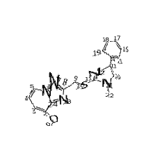 COc1cccn2nc(CSc3nc(-c4ccccc4)cn3C)nc12